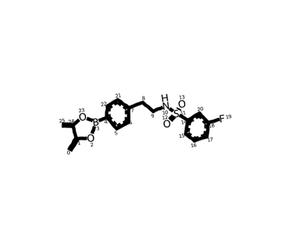 C=C1OB(c2ccc(CCNS(=O)(=O)c3cccc(F)c3)cc2)OC1=C